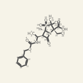 CC(NC(=O)OCc1ccccc1)[C@@H]1C(=O)N2[C@@H]1S(=O)(=O)C(C)(C)[C@]2(CCl)C(=O)O